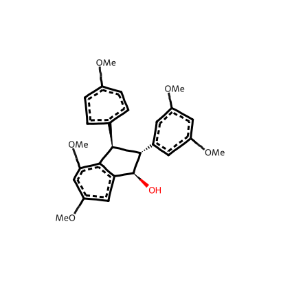 COc1ccc([C@@H]2c3c(OC)cc(OC)cc3[C@H](O)[C@H]2c2cc(OC)cc(OC)c2)cc1